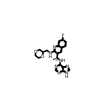 C[C@H](Nc1ncnc2[nH]cnc12)c1cc2ccc(F)cc2nc1NCC1COCCO1